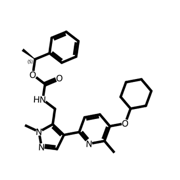 Cc1nc(-c2cnn(C)c2CNC(=O)O[C@@H](C)c2ccccc2)ccc1OC1CCCCC1